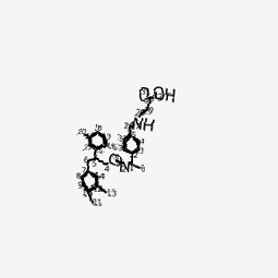 CC(=NOCC(Cc1ccc(C)c(C)c1)c1cccc(C)c1)c1ccc(CNCCC(=O)O)cc1